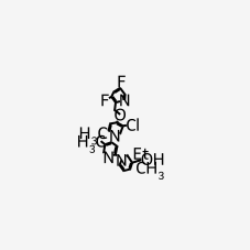 CCC(C)(O)C1=CC=CN(c2cc(N3CC(Cl)=C(OCc4ncc(F)cc4F)C=C3C)c(C)cn2)C1